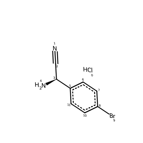 Cl.N#C[C@H](N)c1ccc(Br)cc1